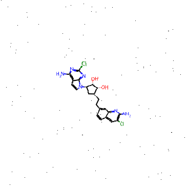 Nc1nc2cc(CC[C@H]3C[C@@H](n4ccc5c(N)nc(Cl)nc54)[C@H](O)[C@@H]3O)ccc2cc1Cl